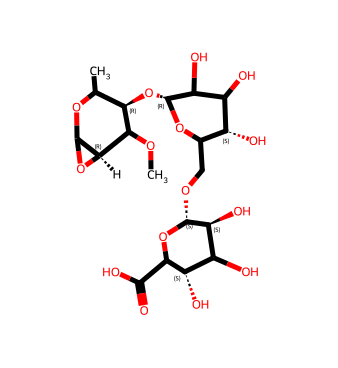 COC1[C@H](O[C@H]2OC(CO[C@H]3OC(C(=O)O)[C@@H](O)C(O)[C@@H]3O)[C@@H](O)C(O)C2O)C(C)OC2O[C@@H]21